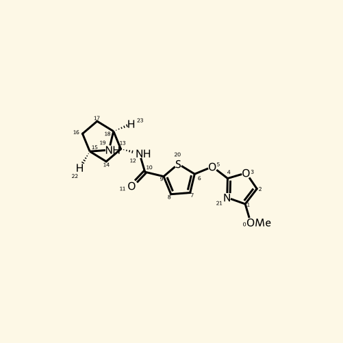 COc1coc(Oc2ccc(C(=O)N[C@@H]3C[C@H]4CC[C@@H]3N4)s2)n1